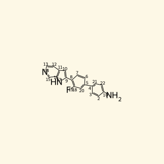 Nc1ccc(-c2ccc(-c3cc4ccncc4[nH]3)c(F)c2)cc1